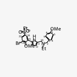 CCN(Cc1ccc(OC)cc1)Cc1ccc(-c2cc(S(=O)(=O)CC)cc(Br)c2OC)[nH]1